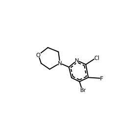 Fc1c(Br)cc(N2CCOCC2)nc1Cl